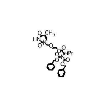 Cc1cn(COCCOC(=O)[C@H](C(C)C)N(C(=O)OCc2ccccc2)C(=O)OCc2ccccc2)c(=O)[nH]c1=O